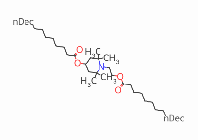 CCCCCCCCCCCCCCCCCC(=O)OCCN1C(C)(C)CC(OC(=O)CCCCCCCCCCCCCCCCC)CC1(C)C